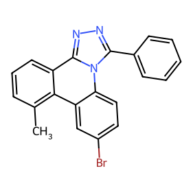 Cc1cccc2c1c1cc(Br)ccc1n1c(-c3ccccc3)nnc21